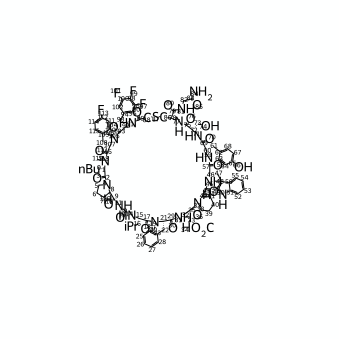 CCCC[C@H]1C(=O)N2CCC[C@@H]2C(=O)NC(=O)N[C@@H](C(C)C)C(=O)N(C)[C@@H](Cc2ccccc2)C(=O)N[C@@H](CC(=O)O)C(=O)N2CCCC[C@@H]2C(=O)N[C@@H](Cc2c[nH]c3ccccc23)C(=O)N[C@@H](Cc2ccc(O)cc2)C(=O)N[C@@H](CO)C(=O)N[C@H](C(=O)NCC(N)=O)CSCC(=O)N[C@@H](Cc2cc(F)c(F)c(F)c2)C(=O)N(C)[C@@H](Cc2ccc(F)cc2)C(=O)N1C